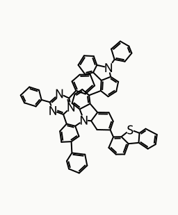 C1=C(c2cccc3c2sc2ccccc23)CC2C(=C1)c1c(-c3cccc4c3c3ccccc3n4-c3ccccc3)cccc1N2c1cc(-c2ccccc2)ccc1-c1nc(-c2ccccc2)nc(-c2ccccc2)n1